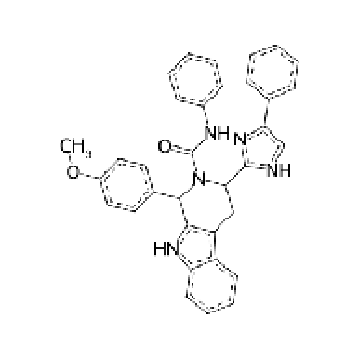 COc1ccc(C2c3[nH]c4ccccc4c3CC(c3nc(-c4ccccc4)c[nH]3)N2C(=O)Nc2ccccc2)cc1